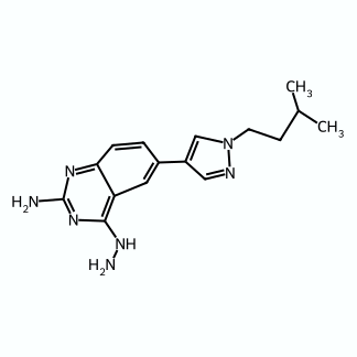 CC(C)CCn1cc(-c2ccc3nc(N)nc(NN)c3c2)cn1